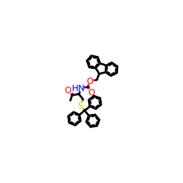 CC(=O)C(CSC(c1ccccc1)(c1ccccc1)c1ccccc1)NC(=O)OCC1c2ccccc2-c2ccccc21